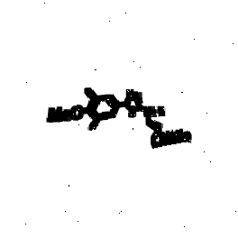 COCCNc1nnc(-c2cc(C)c(OC)c(C)c2)s1